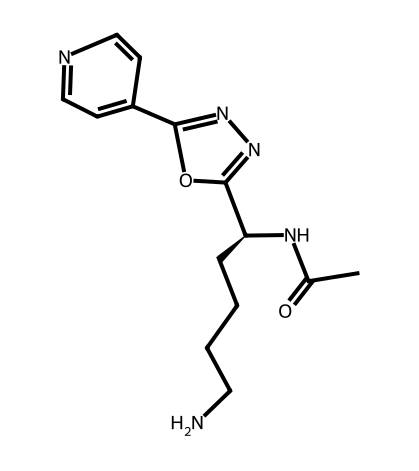 CC(=O)N[C@@H](CCCCN)c1nnc(-c2ccncc2)o1